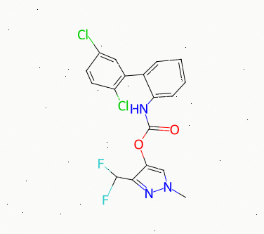 Cn1cc(OC(=O)Nc2ccccc2-c2cc(Cl)ccc2Cl)c(C(F)F)n1